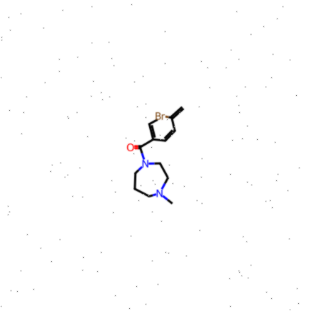 C=C(Br)/C=C\C(=C/C)C(=O)N1CCCN(C)CC1